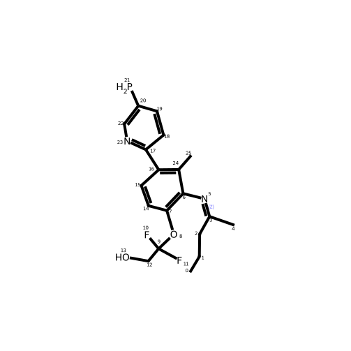 CCC/C(C)=N\c1c(OC(F)(F)CO)ccc(-c2ccc(P)cn2)c1C